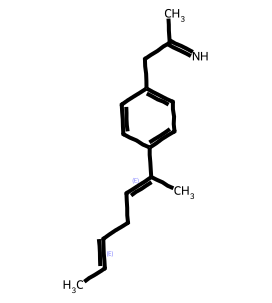 C/C=C/C/C=C(\C)c1ccc(CC(C)=N)cc1